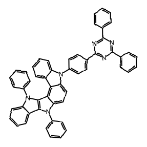 c1ccc(-c2nc(-c3ccccc3)nc(-c3ccc(-n4c5ccccc5c5c6c(ccc54)n(-c4ccccc4)c4c5ccccc5n(-c5ccccc5)c64)cc3)n2)cc1